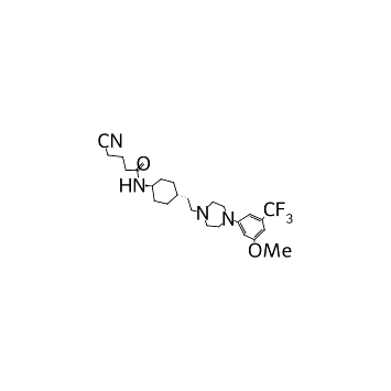 COc1cc(N2CCN(CC[C@H]3CC[C@H](NC(=O)CCCC#N)CC3)CC2)cc(C(F)(F)F)c1